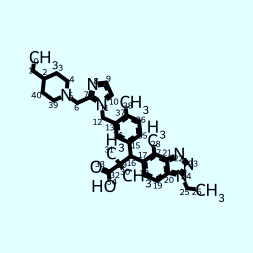 CCC1CCN(Cc2nccn2Cc2cc(C(c3ccc4c(nnn4CC)c3C)C(C)(C)C(=O)O)ccc2C)CC1